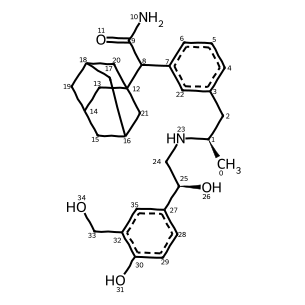 C[C@H](Cc1cccc(C(C(N)=O)C23CC4CC(CC(C4)C2)C3)c1)NC[C@@H](O)c1ccc(O)c(CO)c1